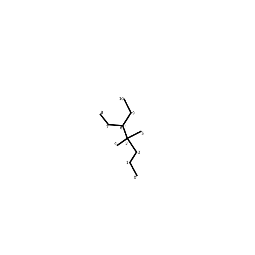 CCCC(C)(C)[C](CC)CC